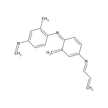 C=CC=NC1=CC(=C)/C(=N\c2ccc(N=C)cc2C)C=C1